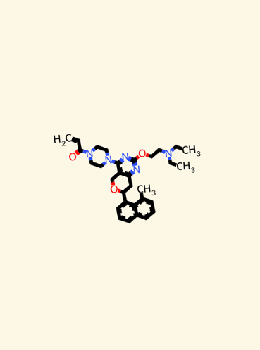 C=CC(=O)N1CCN(c2nc(OCCN(CC)CC)nc3c2COC(c2cccc4cccc(C)c24)C3)CC1